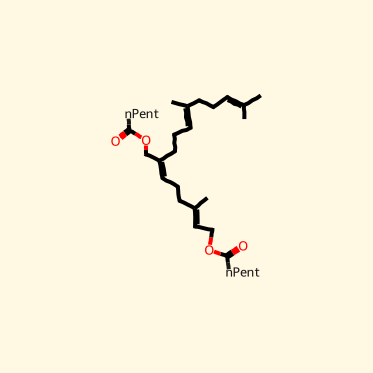 CCCCCC(=O)OC/C=C(\C)CC/C=C(\CC/C=C(\C)CCC=C(C)C)COC(=O)CCCCC